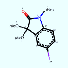 CCCCCCN1C(=O)C(OC)(OC)c2cc(I)ccc21